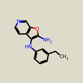 CCc1cccc(Nc2c(N)oc3cnccc23)c1